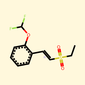 CCS(=O)(=O)/C=C/c1ccccc1OC(F)F